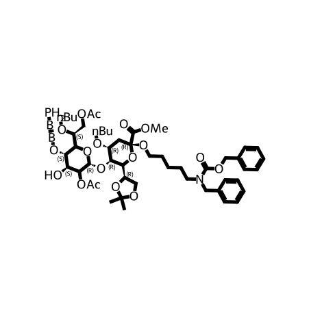 CCCCO[C@@H](COC(C)=O)C1O[C@H](O[C@H]2C([C@H]3COC(C)(C)O3)O[C@@](OCCCCCN(Cc3ccccc3)C(=O)OCc3ccccc3)(C(=O)OC)C[C@H]2OCCCC)C(OC(C)=O)[C@@H](O)[C@@H]1OB=BP